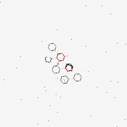 Nc1cccc(N)c1-c1ccccc1-c1c(-c2cccc(-c3ccccc3)c2-c2cccs2)cccc1-c1cccc(-c2ccccc2)c1-c1cccs1